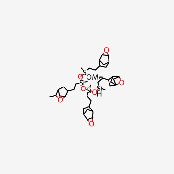 CO[Si](C)(CCC1CC2CC1C1OC21)O[Si](C)(CCC1CC2CC1OC2C)O[Si](C)(CCC1CC2CC1C1OC21)O[SiH](C)CCC1CC23CC(O2)C1C3